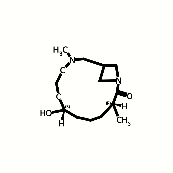 C[C@@H]1CCC[C@H](O)CCCN(C)CC2CN(C2)C1=O